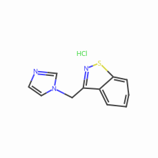 Cl.c1ccc2c(Cn3ccnc3)nsc2c1